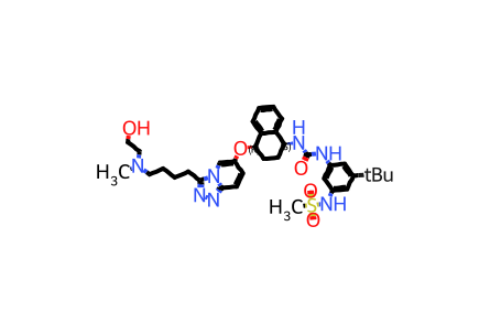 CN(CCO)CCCCc1nnc2ccc(O[C@@H]3CC[C@H](NC(=O)Nc4cc(NS(C)(=O)=O)cc(C(C)(C)C)c4)c4ccccc43)cn12